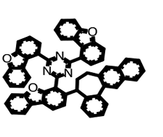 c1ccc2c(c1)-c1cc3ccccc3cc1CCC2c1ccc2c(oc3ccccc32)c1-c1nc(-c2cccc3oc4ccccc4c23)nc(-c2cccc3oc4ccccc4c23)n1